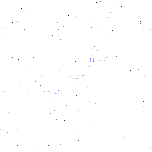 C=N/C=C/N=C